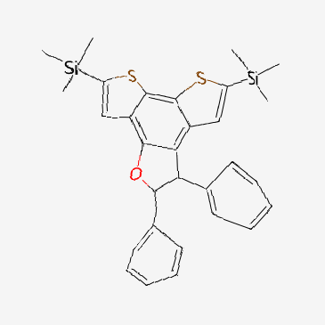 C[Si](C)(C)c1cc2c3c(c4cc([Si](C)(C)C)sc4c2s1)C(c1ccccc1)C(c1ccccc1)O3